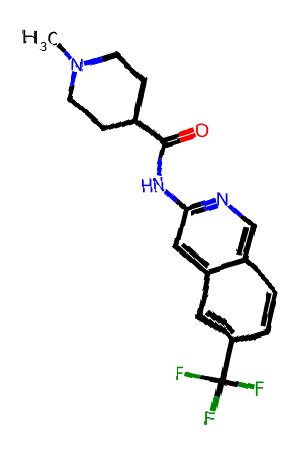 CN1CCC(C(=O)Nc2cc3cc(C(F)(F)F)ccc3cn2)CC1